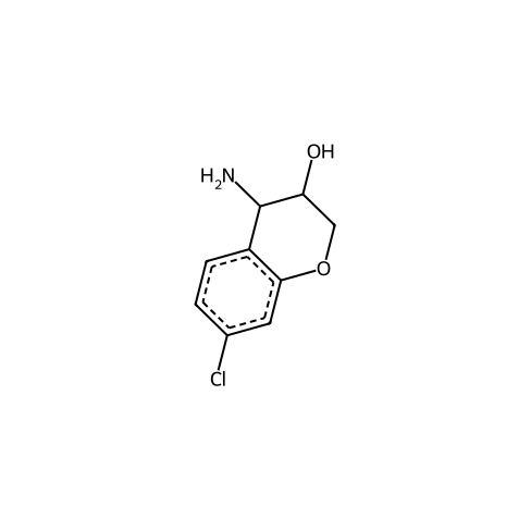 NC1c2ccc(Cl)cc2OCC1O